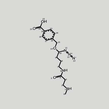 CBCCC(=O)NCCCC(N=[N+]=[N-])OCc1ccc(C(=O)O)cc1